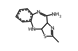 CC1=NC2C(N)=Nc3ccccc3NC2S1